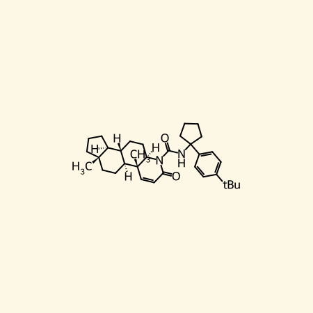 CC(C)(C)c1ccc(C2(NC(=O)N3C(=O)C=C[C@]4(C)[C@H]5CC[C@]6(C)CCC[C@H]6[C@@H]5CC[C@@H]34)CCCC2)cc1